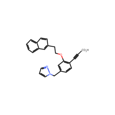 O=C(O)C#Cc1ccc(Cn2cccn2)cc1OCCc1ccc2ccccc2c1